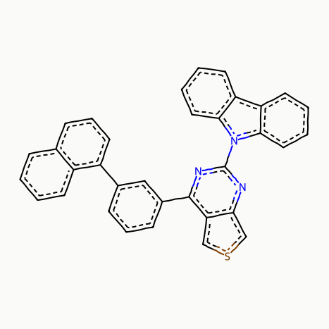 c1cc(-c2cccc3ccccc23)cc(-c2nc(-n3c4ccccc4c4ccccc43)nc3cscc23)c1